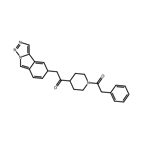 O=C(CC1C=Cc2cn3nncc3c2=C1)C1CCN(C(=O)Cc2ccccc2)CC1